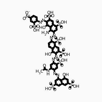 CC(=O)Nc1cc(N=Nc2c(S(=O)(=O)O)cc3c(S(=O)(=O)O)c(N=Nc4cc(S(=O)(=O)O)c5cc(S(=O)(=O)O)c(N=Nc6ccc([N+](=O)[O-])cc6S(=O)(=O)O)c(O)c5c4N)ccc3c2O)c(S(=O)(=O)O)cc1N=Nc1cc(S(=O)(=O)O)cc2cc(S(=O)(=O)O)cc(O)c12